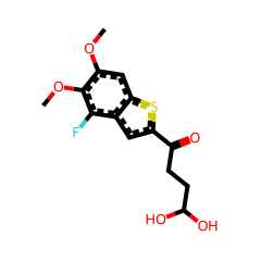 COc1cc2sc(C(=O)CCC(O)O)cc2c(F)c1OC